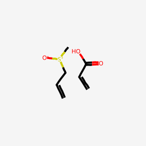 C=CC(=O)O.C=CC[S+](C)[O-]